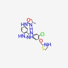 C[C@@H]1COC(Nc2ccc3c(c2)C(Nc2ccc(OCC4NCCS4)c(Cl)c2)NCN3)=N1